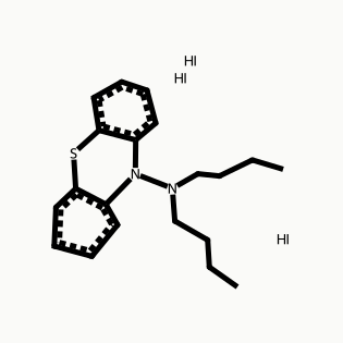 CCCCN(CCCC)N1c2ccccc2Sc2ccccc21.I.I.I